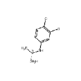 C[C@H](Nc1ccc(Cl)c(Cl)c1)C(=O)O